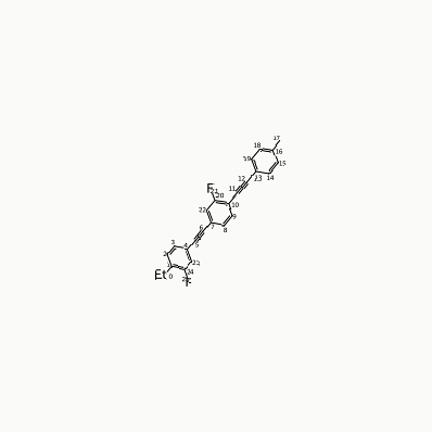 CCc1ccc(C#Cc2ccc(C#Cc3ccc(C)cc3)c(F)c2)cc1F